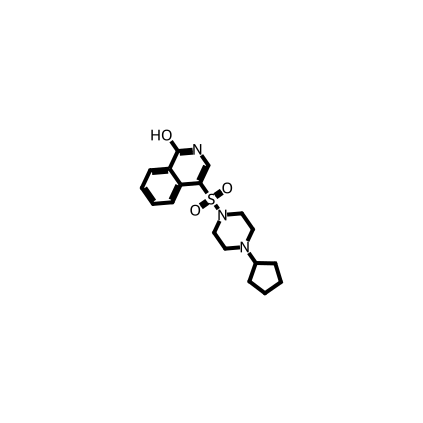 O=S(=O)(c1cnc(O)c2ccccc12)N1CCN(C2CCCC2)CC1